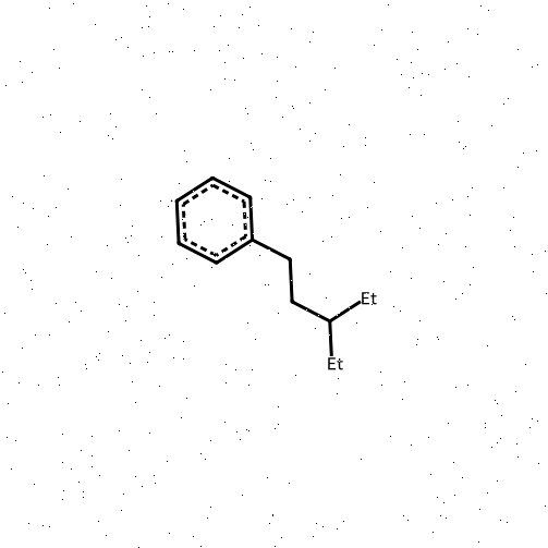 [CH2]CC(CC)CCc1cc[c]cc1